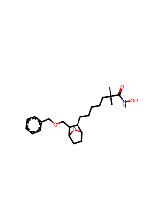 CC(C)(CCCCCC1C2CCC(O2)C1COCc1ccccc1)C(=O)NO